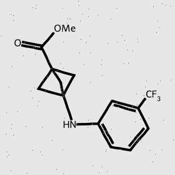 COC(=O)C12CC(Nc3cccc(C(F)(F)F)c3)(C1)C2